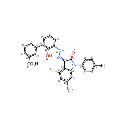 CCc1ccc(N2C(=O)C(=NNc3cccc(-c4cccc(C(=O)O)c4)c3O)c3c(F)cc(C(F)(F)F)cc32)cc1